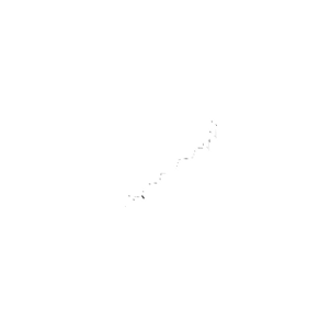 [N-]=[N+]=NCCCOCCOC(N)=O